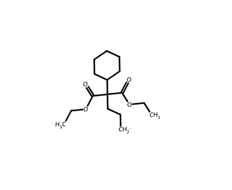 [CH2]CCC(C(=O)OCC)(C(=O)OCC)C1CCCCC1